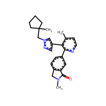 Cc1ccnc(-c2ccc3c(c2)C(=O)N(C)C3)c1-c1cnn(CC2(C)CCCC2)c1